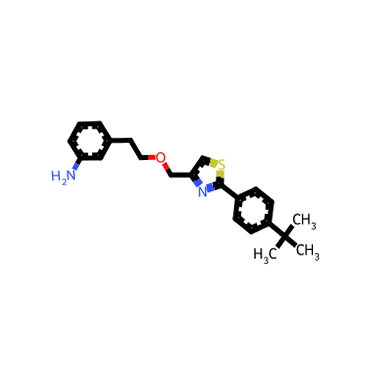 CC(C)(C)c1ccc(-c2nc(COCCc3cccc(N)c3)cs2)cc1